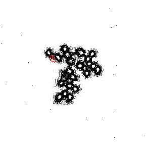 c1cc(-c2cc3c(c4ccccc24)-c2cc4ccccc4cc2C32c3ccccc3-c3ccccc32)cc(-c2c3ccccc3c(-c3ccc4oc5ccccc5c4c3)c3cc(-c4ccc5c6c(ccc5c4)-c4c(cc(-c5cc7ccccc7c7ccccc57)c5ccccc45)C64c5ccccc5-c5ccccc54)ccc23)c1